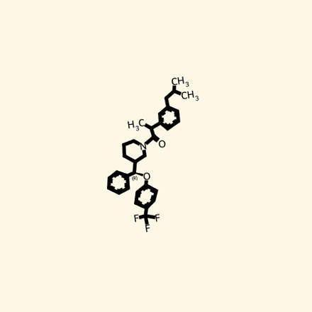 CC(C)Cc1cccc(C(C)C(=O)N2CCCC([C@@H](Oc3ccc(C(F)(F)F)cc3)c3ccccc3)C2)c1